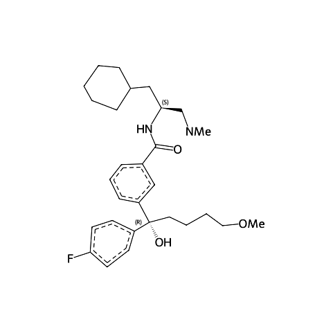 CNC[C@H](CC1CCCCC1)NC(=O)c1cccc([C@@](O)(CCCCOC)c2ccc(F)cc2)c1